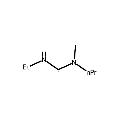 CCCN(C)[CH]NCC